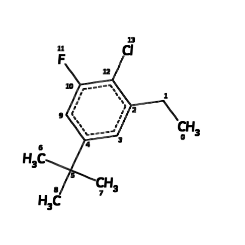 CCc1cc(C(C)(C)C)cc(F)c1Cl